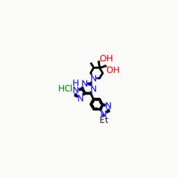 CCn1cnc2cc(-c3nc(N4CCC(CO)(CO)C(C)C4)nc4[nH]cnc34)ccc21.Cl